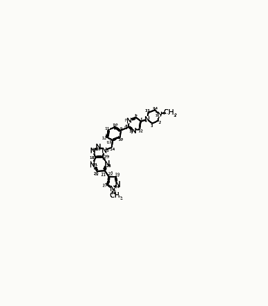 CN1CCN(c2cnc(-c3cccc(Cn4nnc5ncc(-c6cnn(C)c6)nc54)c3)nc2)CC1